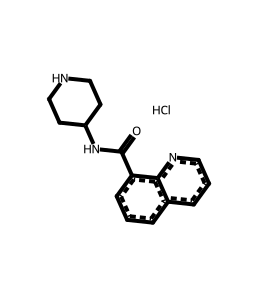 Cl.O=C(NC1CCNCC1)c1cccc2cccnc12